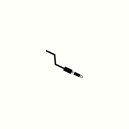 CCCC#P=O